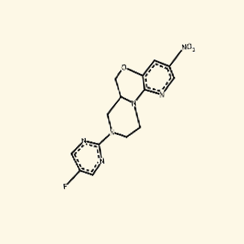 O=[N+]([O-])c1cnc2c(c1)OCC1CN(c3ncc(F)cn3)CCN21